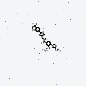 COc1cc(C(=O)NCc2nc(-c3ccc(C(F)(F)F)c(F)c3)no2)ccc1-n1cnc(C)c1